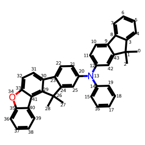 CC1(C)c2ccccc2-c2ccc(N(c3ccccc3)c3ccc4c(c3)C(C)(C)c3c-4ccc4oc5ccccc5c34)cc21